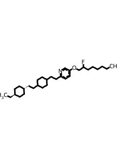 CCCCCCC(F)COc1ccc(CCC2CCC(CC[C@H]3CC[C@H](CC)CC3)CC2)nc1